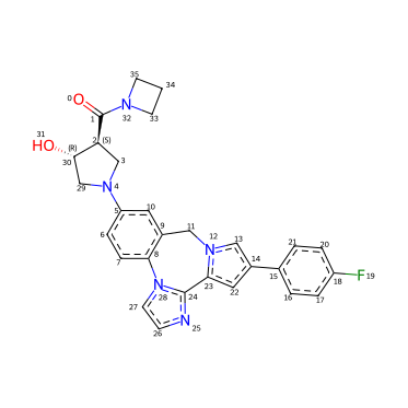 O=C([C@H]1CN(c2ccc3c(c2)Cn2cc(-c4ccc(F)cc4)cc2-c2nccn2-3)C[C@@H]1O)N1CCC1